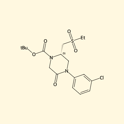 CCS(=O)(=O)C[C@@H]1CN(c2cccc(Cl)c2)C(=O)CN1C(=O)OC(C)(C)C